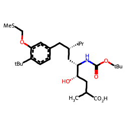 CSCOc1cc(C[C@@H](C[C@H](NC(=O)OC(C)(C)C)[C@@H](O)CC(C)C(=O)O)C(C)C)ccc1C(C)(C)C